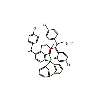 CN(c1ccc(Cl)cc1)c1cc[n+](C2([n+]3ccc(N(C)c4ccc(Cl)cc4)c4ccc(Cl)cc43)c3cccc(c3)-c3cccc2c3)c2cc(Cl)ccc12.[Br-].[Br-]